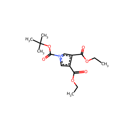 CCOC(=O)c1cn(C(=O)OC(C)(C)C)cc1C(=O)OCC